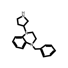 c1ccc(CN2CCN(C3CCNC3)c3ccccc32)cc1